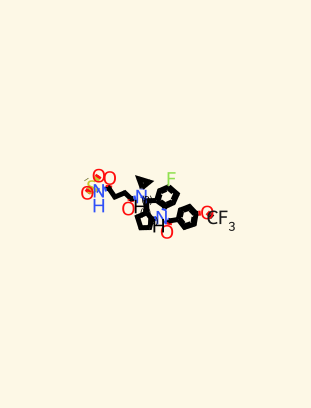 CS(=O)(=O)NC(=O)CCC(=O)N(C1CC1)[C@H]1c2cc(F)ccc2N(C(=O)c2ccc(OC(F)(F)F)cc2)[C@H]2CCC[C@H]21